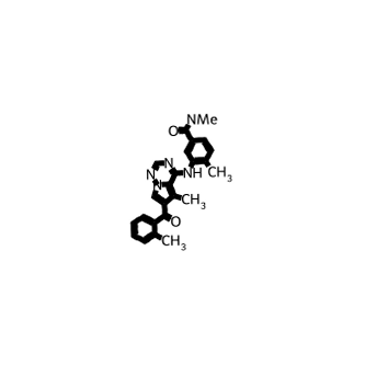 CNC(=O)c1ccc(C)c(Nc2ncnn3cc(C(=O)c4ccccc4C)c(C)c23)c1